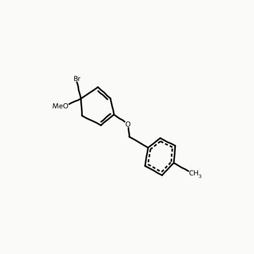 COC1(Br)C=CC(OCc2ccc(C)cc2)=CC1